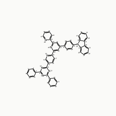 c1ccc(-c2nc(-c3ccccc3)nc(-c3ccc(-c4cc(-c5ccc(-n6c7ccccc7c7ccccc76)cc5)cc(-c5ccccn5)n4)nc3)n2)cc1